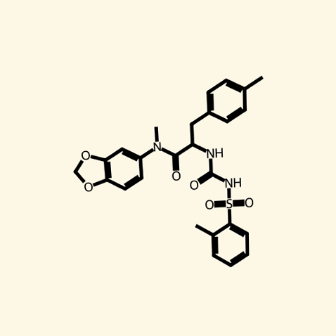 Cc1ccc(CC(NC(=O)NS(=O)(=O)c2ccccc2C)C(=O)N(C)c2ccc3c(c2)OCO3)cc1